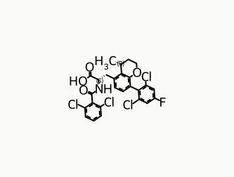 C[C@@H]1CCOc2c(-c3c(Cl)cc(F)cc3Cl)ccc(C[C@H](NC(=O)c3c(Cl)cccc3Cl)C(=O)O)c21